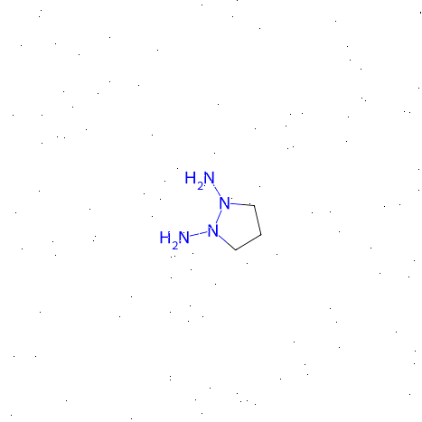 NN1CCCN1N